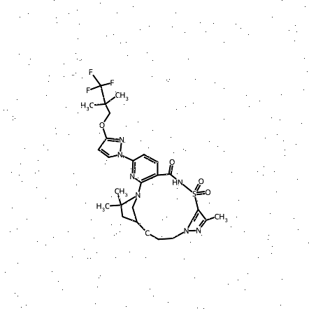 Cc1nn2cc1S(=O)(=O)NC(=O)c1ccc(-n3ccc(OCC(C)(C)C(F)(F)F)n3)nc1N1CC(CCC2)CC1(C)C